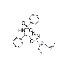 C=C/C(=C\C=C/C)c1nnc(C(NS(=O)(=O)c2ccccc2)c2ccccc2)o1